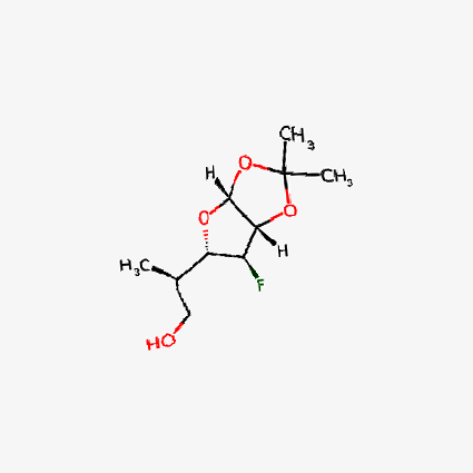 C[C@H](CO)[C@@H]1O[C@@H]2OC(C)(C)O[C@@H]2[C@H]1F